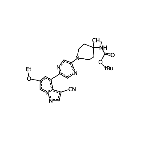 CCOc1cc(-c2cnc(N3CCC(C)(NC(=O)OC(C)(C)C)CC3)cn2)c2c(C#N)cnn2c1